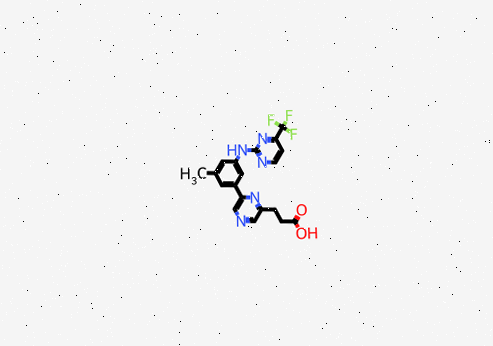 Cc1cc(Nc2nccc(C(F)(F)F)n2)cc(-c2cncc(CCC(=O)O)n2)c1